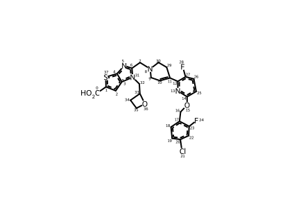 O=C(O)c1cc2c(nc(CN3CC=C(c4nc(OCc5ccc(Cl)cc5F)ccc4F)CC3)n2CC2CCO2)s1